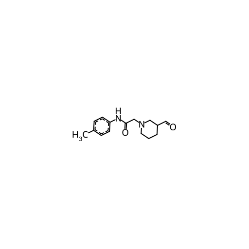 Cc1ccc(NC(=O)CN2CCCC(C=O)C2)cc1